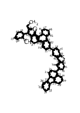 C=Cc1oc2c(ccc3c4ccc(-c5ccc6sc7ccc(-c8ccc9c%10c(cccc8%10)-c8ccccc8-9)cc7c6c5)cc4c4ccccc4c32)c1-c1ccccc1C